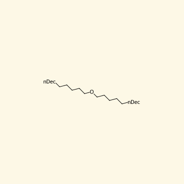 [CH2]CCCCCCCCCCCCCCOCCCCCCCCCCCCCCC